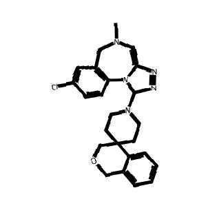 CN1C=C2N=NC(N3CCC4(CC3)COCc3ccccc34)N2c2ccc(Cl)cc2C1